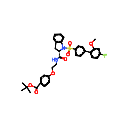 COc1cc(F)ccc1-c1ccc(S(=O)(=O)N2c3ccccc3C[C@H]2C(=O)NCCOc2ccc(C(=O)OC(C)(C)C)cc2)cc1